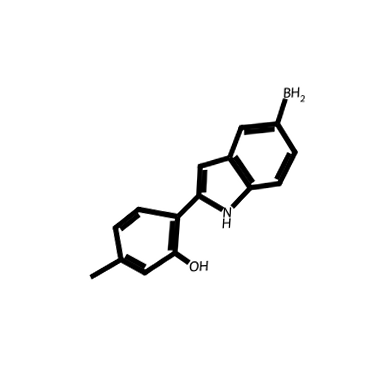 Bc1ccc2[nH]c(-c3ccc(C)cc3O)cc2c1